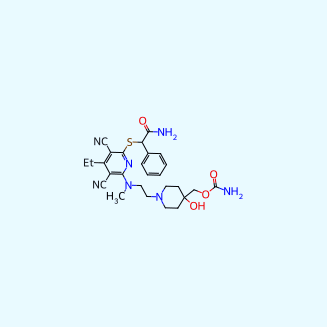 CCc1c(C#N)c(SC(C(N)=O)c2ccccc2)nc(N(C)CCN2CCC(O)(COC(N)=O)CC2)c1C#N